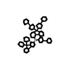 c1ccc(-c2ccc(N(c3ccc4c(c3)C(c3ccccc3)(c3ccccc3)c3ccccc3-4)c3cccc4c3-c3ccccc3C4(c3ccc(-c4ccccc4)cc3)c3ccc(-c4ccccc4)cc3)cc2)cc1